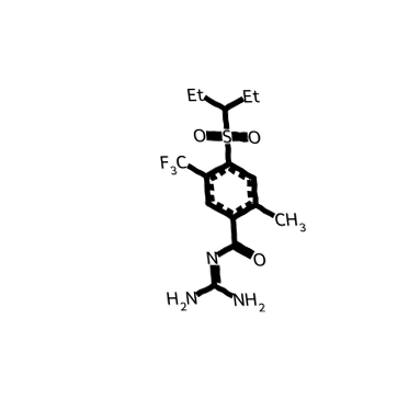 CCC(CC)S(=O)(=O)c1cc(C)c(C(=O)N=C(N)N)cc1C(F)(F)F